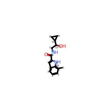 Cc1cccc2cc(C(=O)NCC(O)C3CC3)[nH]c12